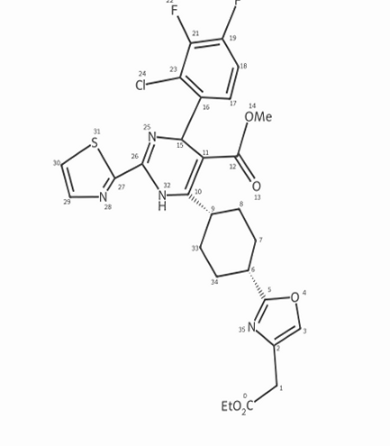 CCOC(=O)Cc1coc([C@H]2CC[C@@H](C3=C(C(=O)OC)C(c4ccc(F)c(F)c4Cl)N=C(c4nccs4)N3)CC2)n1